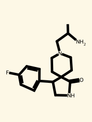 CC(N)CN1CCC2(CC1)C(=O)NCC2c1ccc(F)cc1